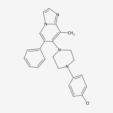 Cc1c(N2CCN(c3ccc(Cl)cc3)CC2)c(-c2ccccc2)cn2ccnc12